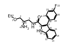 CCOC[C@H](N)CNC(=O)c1[nH]c2ccccc2c1-c1ccc(F)cc1